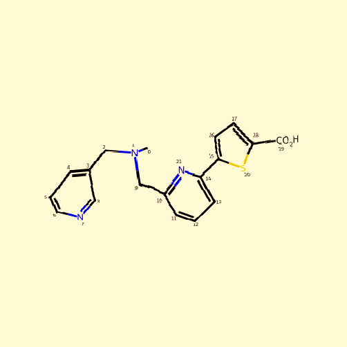 CN(Cc1cccnc1)Cc1cccc(-c2ccc(C(=O)O)s2)n1